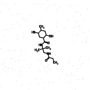 CCC(=O)NCC(C)(C)NC(=O)C1CC(S)C(C)CC1O